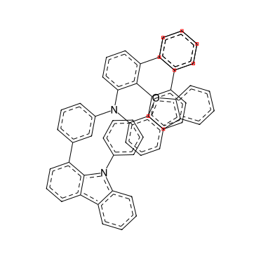 c1ccc(-c2ccccc2-c2c(-c3ccccc3)cccc2N(c2cccc(-c3cccc4c5ccccc5n(-c5ccccc5)c34)c2)c2cccc3c2oc2ccccc23)cc1